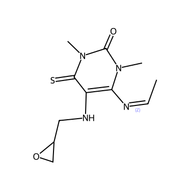 C/C=N\c1c(NCC2CO2)c(=S)n(C)c(=O)n1C